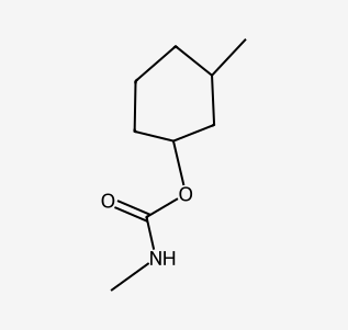 CNC(=O)OC1CCCC(C)C1